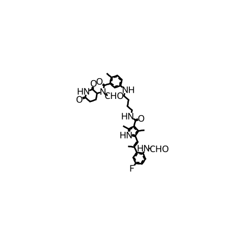 C/C(=C\c1[nH]c(C)c(C(=O)NCCCCNc2ccc(C)c(C(=O)N(C=O)C3CCC(=O)NC3=O)c2)c1C)c1cc(F)ccc1NC=O